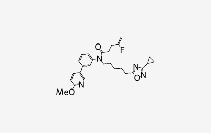 C=C(F)CCC(=O)N(CCCCCc1nc(C2CC2)no1)c1cccc(-c2ccc(OC)nc2)c1